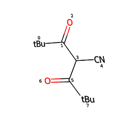 CC(C)(C)C(=O)C(C#N)C(=O)C(C)(C)C